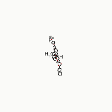 COC(=O)[C@H](Cc1ccc(OCc2ccc(C(F)(F)F)cc2)cc1)NC(=O)c1cc2cc(-c3ccc(Cl)cc3)ccc2s1